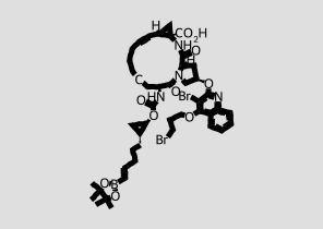 CC1(C)OB(C=CCCC[C@@H]2C[C@H]2OC(=O)N[C@H]2CCCCCC=C[C@@H]3C[C@@]3(C(=O)O)NC(=O)[C@@H]3C[C@@H](Oc4nc5ccccc5c(OCCCBr)c4Br)CN3C2=O)OC1(C)C